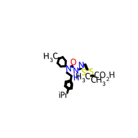 CC1CCC(N(CCc2ccc(C(C)C)cc2)C(=O)Nc2ncc(SC(C)(C)C(=O)O)s2)CC1